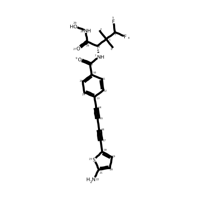 CC(C)(C(F)F)[C@H](NC(=O)c1ccc(C#CC#Cc2ccc(N)s2)cc1)C(=O)NO